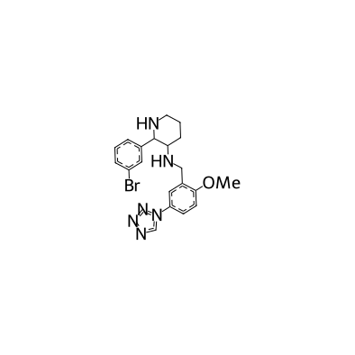 COc1ccc(-n2cnnn2)cc1CNC1CCCNC1c1cccc(Br)c1